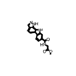 COC(=O)CNC(=O)c1ccc2c(c1)[nH]c1c2ccc2cn[nH]c21